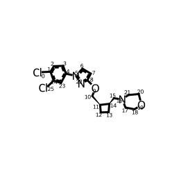 Clc1ccc(-n2ccc(OC[C@@H]3CC[C@@H]3CN3CCOCC3)n2)cc1Cl